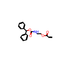 C=CC(=O)OCCNC(=O)OC(c1ccccc1)c1ccccc1